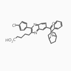 O=C(O)CCCCc1nc2cc(C(=O)N3CC4CCC(C3)N4Cc3ccccc3)ccc2nc1-c1ccc(Cl)cc1